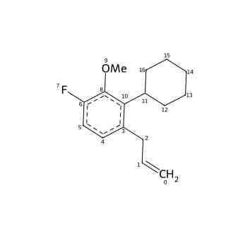 C=CCc1ccc(F)c(OC)c1C1CCCCC1